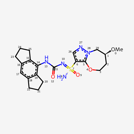 CO[C@H]1CCOc2c([S@@](N)(=O)=NC(=O)Nc3c4c(cc5c3CCC5)CCC4)cnn2C1